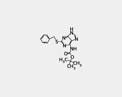 CC(C)(C)OC(=O)Nc1nc(SCc2ccccc2)nc2[nH]cnc12